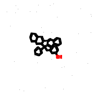 Oc1cccc(CC2(c3ccccc3)c3cc4ccccc4cc3-c3cc4ccccc4cc32)c1